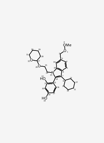 COOCc1ccc2c(C3CCCCC3)c(-c3ccc(O)cc3O)n(CCOC3CCCCO3)c2c1